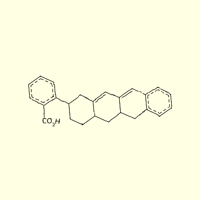 O=C(O)c1ccccc1C1CCC2CC3Cc4ccccc4C=C3C=C2C1